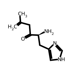 C=C(C)CC(=O)[C@@H](N)Cc1c[nH]cn1